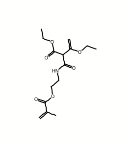 C=C(C)C(=O)OCCNC(=O)C(C(=C)OCC)C(=O)OCC